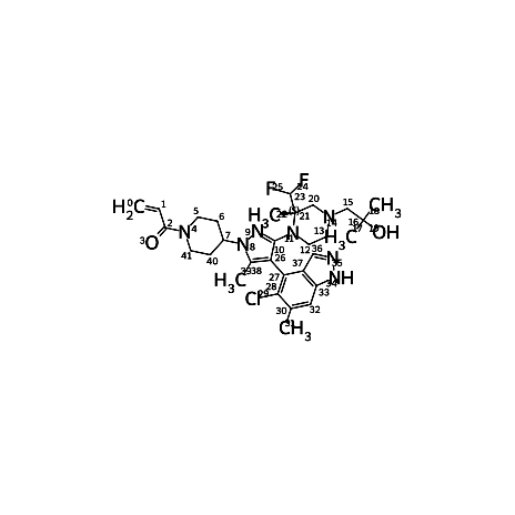 C=CC(=O)N1CCC(n2nc(N3CCN(CC(C)(C)O)C[C@@]3(C)C(F)F)c(-c3c(Cl)c(C)cc4[nH]ncc34)c2C)CC1